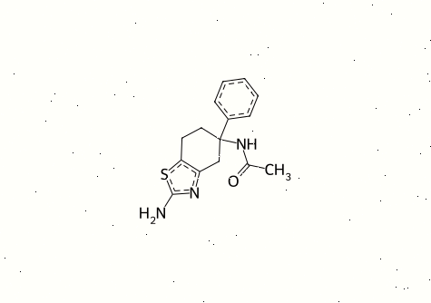 CC(=O)NC1(c2ccccc2)CCc2sc(N)nc2C1